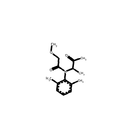 COCC(=O)N(c1c(C)cccc1C)C(C)C(C)=O